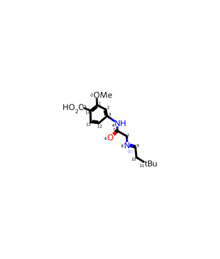 COc1cc(NC(=O)C/N=C/CC(C)(C)C)ccc1C(=O)O